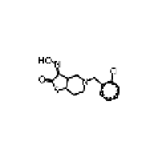 O=C1SC2CCN(Cc3ccccc3Cl)CC2C1=NO